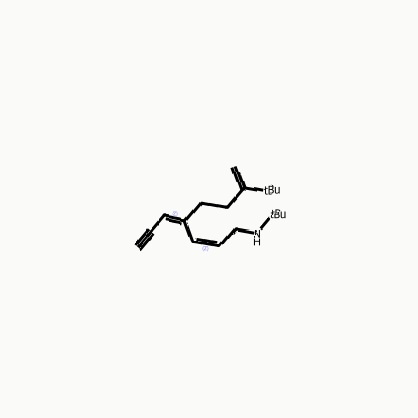 C#C/C=C(\C=C/CNC(C)(C)C)CCC(=C)C(C)(C)C